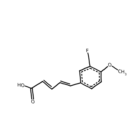 COc1ccc(/C=C/C=C/C(=O)O)cc1F